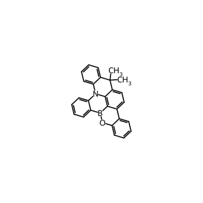 CC1(C)c2ccccc2N2c3ccccc3B3Oc4ccccc4-c4ccc1c2c43